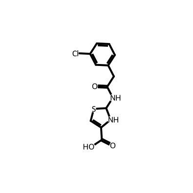 O=C(Cc1cccc(Cl)c1)NC1NC(C(=O)O)=CS1